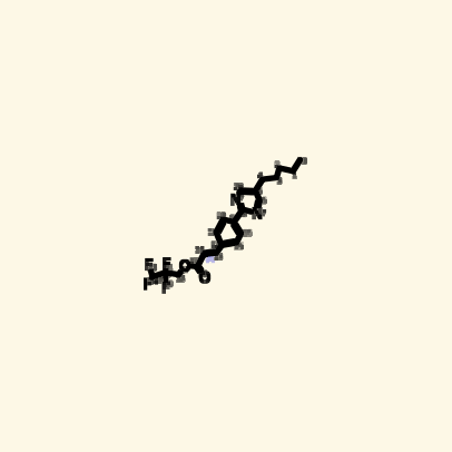 CCCCCc1cnc(-c2ccc(/C=C/C(=O)OCC(F)(F)C(F)F)cc2)nc1